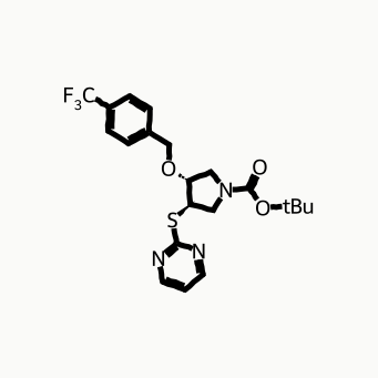 CC(C)(C)OC(=O)N1C[C@@H](OCc2ccc(C(F)(F)F)cc2)[C@H](Sc2ncccn2)C1